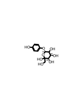 OCC1(O)O[C@H](Oc2ccc(O)cc2)C(O)[C@@H](O)[C@H]1O